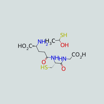 CC(O)S.N[C@@H](CCC(=O)N[C@@H](CS)C(=O)NCC(=O)O)C(=O)O